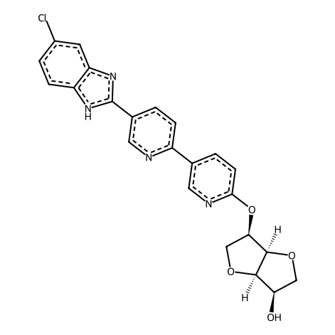 O[C@@H]1CO[C@H]2[C@@H]1OC[C@H]2Oc1ccc(-c2ccc(-c3nc4cc(Cl)ccc4[nH]3)cn2)cn1